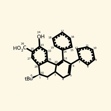 CC(C)(C)[C@@H]1CC2CC=C(c3ccccc3)C(c3ccccc3)=C2c2cc(O)c(C(=O)O)cc21